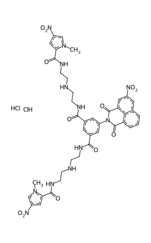 Cl.Cl.Cn1cc([N+](=O)[O-])cc1C(=O)NCCNCCNC(=O)c1cc(C(=O)NCCNCCNC(=O)c2cc([N+](=O)[O-])cn2C)cc(N2C(=O)c3cccc4cc([N+](=O)[O-])cc(c34)C2=O)c1